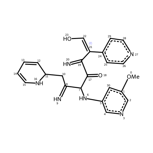 COc1cncc(NC(C(=N)CC2C=CC=CN2)C(=O)C(=N)/C(=C\O)c2ccncc2)c1